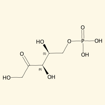 O=C(CO)[C@H](O)[C@@H](O)COP(=O)(O)O